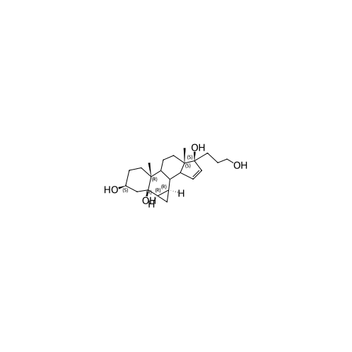 C[C@]12CCC3C(C1C=C[C@@]2(O)CCCO)[C@H]1C[C@H]1[C@]1(O)C[C@@H](O)CC[C@]31C